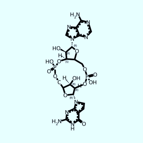 Nc1nc2c(ccn2[C@@H]2OC3COP(=O)(O)O[C@@H]4C(COP(=O)(O)O[C@@H]2[C@@H]3O)O[C@@H](n2cnc3c(N)ncnc32)[C@@H]4O)c(=O)[nH]1